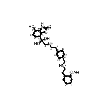 COc1ccccc1CCNCc1ccc(CCNCC(O)(O)c2ccc(O)c3[nH]c(=O)sc23)cc1